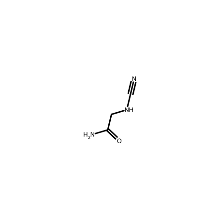 N#CNCC(N)=O